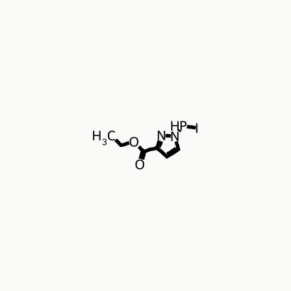 CCOC(=O)c1ccn(PI)n1